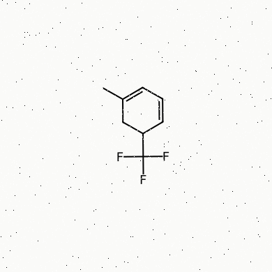 CC1=CC=CC(C(F)(F)F)C1